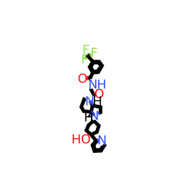 O=C(NCC(=O)N1CCC[C@@H]2[C@@H]1CCN2C1CCC(O)(c2ccccn2)CC1)c1cccc(C(F)(F)F)c1